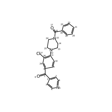 O=C(c1ccncc1)c1ccc(N2CCN(C(=O)c3ccccc3)CC2)c(Cl)c1